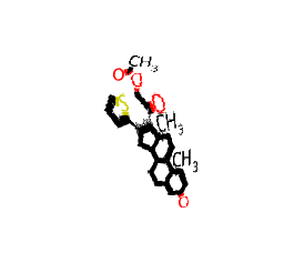 CC(=O)OCC(=O)[C@H]1[C@H](c2cccs2)CC2C3CCC4=CC(=O)C=C[C@]4(C)C3=CC[C@@]21C